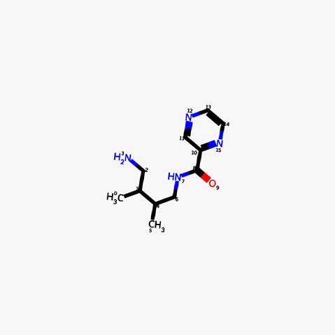 CC(CN)C(C)CNC(=O)c1cnccn1